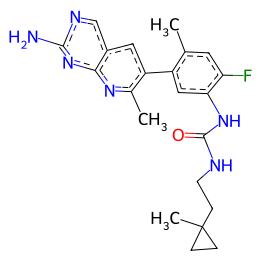 Cc1cc(F)c(NC(=O)NCCC2(C)CC2)cc1-c1cc2cnc(N)nc2nc1C